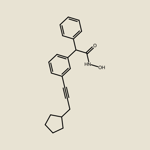 O=C(NO)C(c1ccccc1)c1cccc(C#CCC2CCCC2)c1